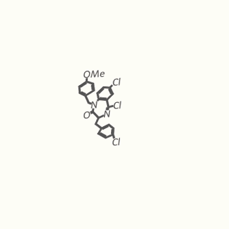 COc1ccc(CN2C(=O)C(Cc3ccc(Cl)cc3)N=C(Cl)c3cc(Cl)ccc32)cc1